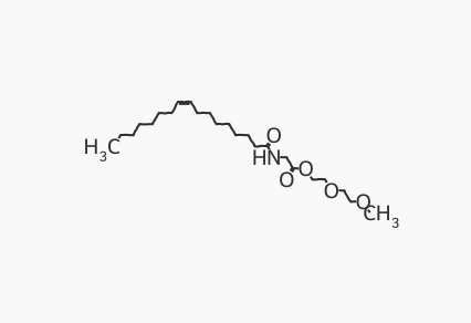 CCCCCCC/C=C\CCCCCCCC(=O)NCC(=O)OCCOCCOC